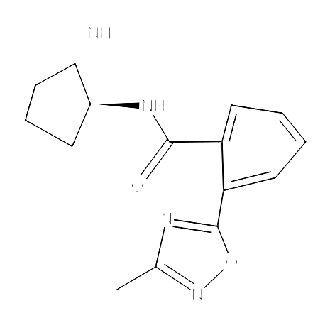 Cc1noc(-c2ccccc2C(=O)N[C@H]2CCC[C@@H]2N)n1